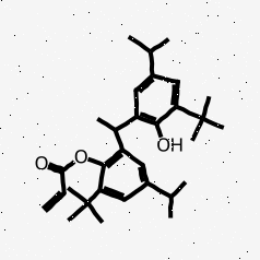 C=CC(=O)Oc1c(C(C)c2cc(C(C)C)cc(C(C)(C)C)c2O)cc(C(C)C)cc1C(C)(C)C